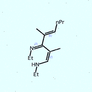 CCC/C=C(C)/C(=N/CC)C(/C)=C\NCC